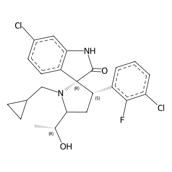 C[C@@H](O)C1C[C@@H](c2cccc(Cl)c2F)[C@@]2(C(=O)Nc3cc(Cl)ccc32)N1CC1CC1